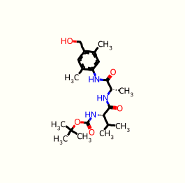 Cc1cc(NC(=O)[C@H](C)NC(=O)[C@@H](NC(=O)OC(C)(C)C)C(C)C)c(C)cc1CO